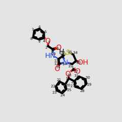 O=C(COc1ccccc1)N[C@@H]1C(=O)N2[C@@H](C(=O)OC(c3ccccc3)c3ccccc3)C(O)CS[C@@H]12